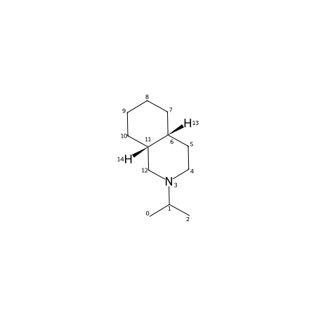 CC(C)N1CC[C@H]2CCCC[C@H]2C1